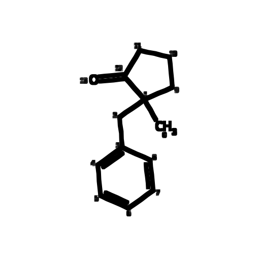 CC1(Cc2ccccc2)CCCC1=O